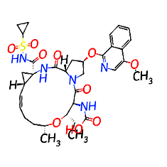 CC[C@@H]1O[C@H](C)CCC=C[C@@H]2C[C@@]2(C(=O)NS(=O)(=O)C2CC2)NC(=O)[C@@H]2C[C@@H](Oc3ncc(OC)c4ccccc34)CN2C(=O)[C@H]1NC(=O)O